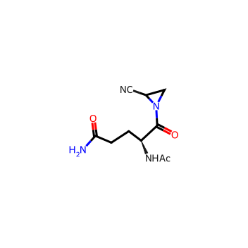 CC(=O)N[C@@H](CCC(N)=O)C(=O)N1CC1C#N